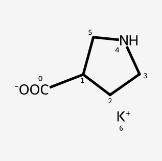 O=C([O-])C1CCNC1.[K+]